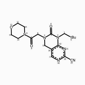 CC(C)(C)CN1C(=O)N(CC(=O)N2CCOCC2)Cc2cnc(C#N)nc21